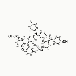 Cc1ccc(N(c2ccc(C)cc2)c2ccc(C=C(c3ccc(O)cc3)c3ccc(OC(=O)Oc4ccc(Oc5ccc(OC=O)c(C)c5)cc4C)cc3)cc2)cc1